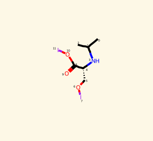 CC(C)N[C@H](COI)C(=O)OI